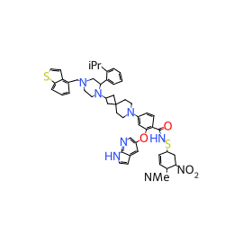 CNC1C=CC(SNC(=O)c2ccc(N3CCC4(CC3)CC(N3CCN(Cc5cccc6sccc56)CC3c3ccccc3C(C)C)C4)cc2Oc2cnc3[nH]ccc3c2)CC1[N+](=O)[O-]